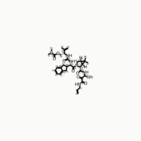 C=CCNC(=O)C(=O)C(CCC)NC(=O)[C@@H]1[C@@H]2[C@H](CN1C(=O)[C@@H](NC(=O)N[C@H](COC(=O)N(C)C)C(=C)C)C1Cc3ccccc3C1)C2(C)C